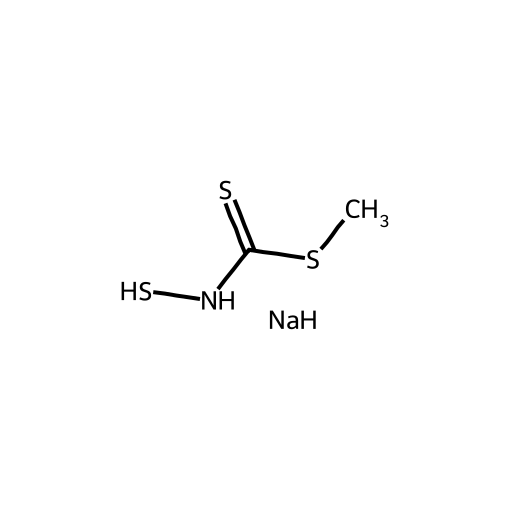 CSC(=S)NS.[NaH]